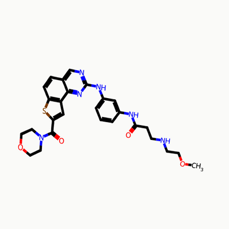 COCCNCCC(=O)Nc1cccc(Nc2ncc3ccc4sc(C(=O)N5CCOCC5)cc4c3n2)c1